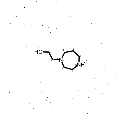 OCCN1C[CH]NCCC1